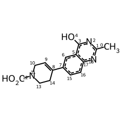 Cc1nc(O)c2cc(C3=CCN(C(=O)O)CC3)ccc2n1